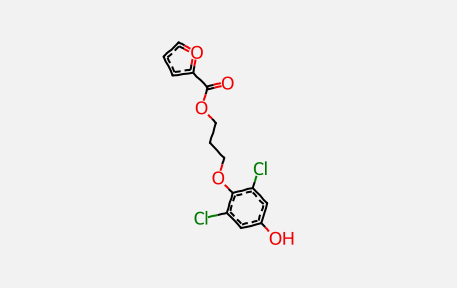 O=C(OCCCOc1c(Cl)cc(O)cc1Cl)c1ccco1